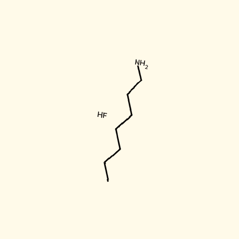 CCCCCCCN.F